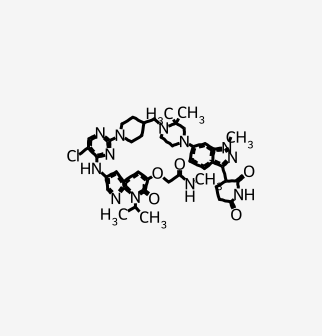 CNC(=O)COc1cc2cc(Nc3nc(N4CCC(CN5CCN(c6ccc7c(C8CCC(=O)NC8=O)nn(C)c7c6)CC5(C)C)CC4)ncc3Cl)cnc2n(C(C)C)c1=O